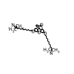 CC(C)(C#N)CCCCCCCCCCOc1ccc2c(c1)Oc1cc(OCCCCCCCCCCC(C)(C)C#N)ccc1C21OC(=O)c2ccccc21